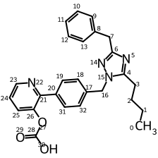 CCCCc1nc(Cc2ccccc2)nn1Cc1ccc(-c2ncccc2OC(=O)O)cc1